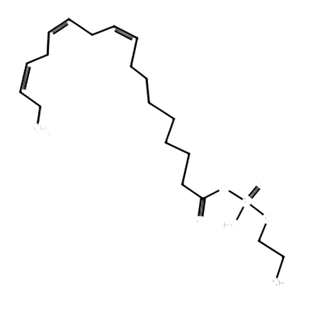 CC/C=C\C/C=C\C/C=C\CCCCCCCC(=O)OP(=O)(O)OCCN